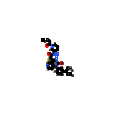 C=CC(=O)N1CCC[C@@H](NC(=O)c2sc3nccc4c3c2NC(=O)N4c2cccc(C(C)C)c2)C1